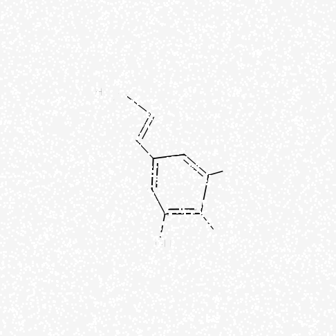 Cc1c(O)cc(/C=C/C(=O)O)cc1O